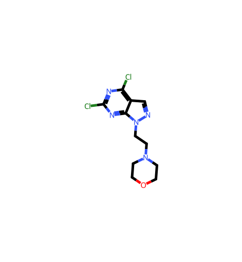 Clc1nc(Cl)c2cnn(CCN3CCOCC3)c2n1